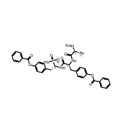 CC[C@H](C)[C@H](NC(C)=O)C(=O)N[C@@H](Cc1ccc(OC(=O)c2ccccc2)cc1)C(=O)[AsH][C@H](Cc1ccc(OC(=O)c2ccccc2)cc1)P(=O)(O)O